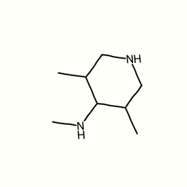 CNC1C(C)CNCC1C